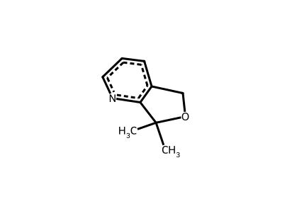 CC1(C)OCc2cccnc21